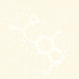 CC(Nc1cc(Cl)c2ncn(C)c2n1)C1CC1